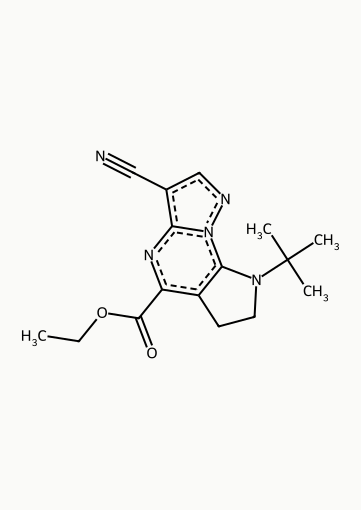 CCOC(=O)c1nc2c(C#N)cnn2c2c1CCN2C(C)(C)C